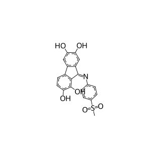 CS(=O)(=O)c1ccc(N=C2c3cc(O)c(O)cc3-c3ccc(O)c(O)c32)cc1